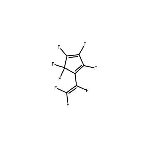 FC(F)=C(F)C1=C(F)C(F)=C(F)C1(F)F